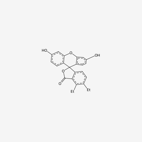 CCc1ccc2c(c1CC)C(=O)OC21c2ccc(O)cc2Oc2cc(O)ccc21